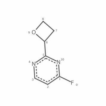 Fc1ccnc(C2CCO2)n1